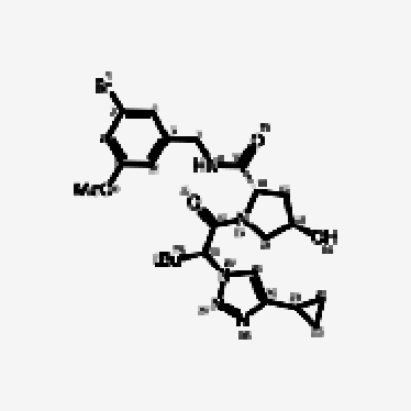 COc1cc(Br)cc(CNC(=O)[C@@H]2C[C@@H](O)CN2C(=O)[C@@H](n2cc(C3CC3)nn2)C(C)(C)C)c1